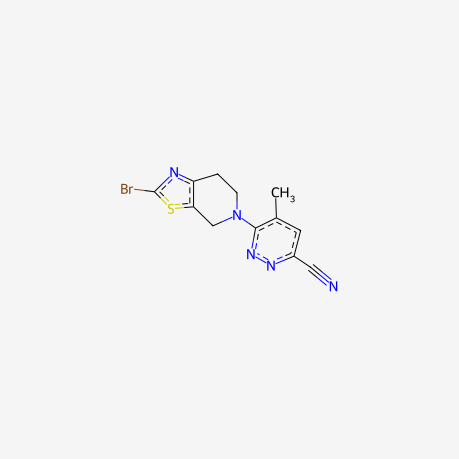 Cc1cc(C#N)nnc1N1CCc2nc(Br)sc2C1